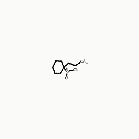 CCCC1([SiH](Cl)Cl)CCCCC1